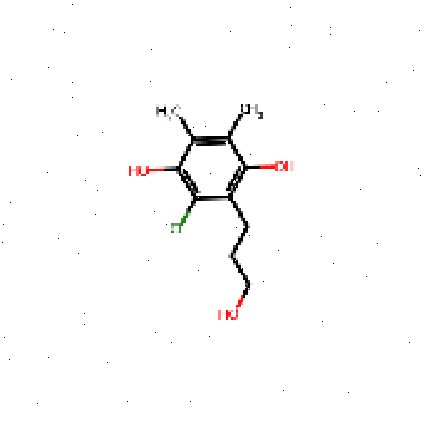 Cc1c(C)c(O)c(CCCO)c(Cl)c1O